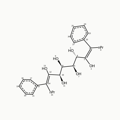 CCCC(=C(O)[C@@H](O)[C@@H](O)[C@H](O)[C@@H](O)C(O)=C(CCC)c1ccccc1)c1ccccc1